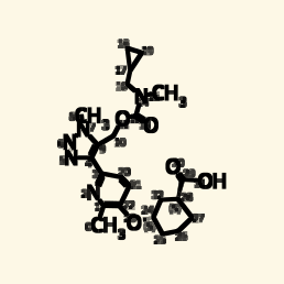 Cc1nc(-c2nnn(C)c2COC(=O)N(C)CC2CC2)ccc1O[C@H]1CCC[C@H](C(=O)O)C1